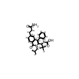 CC(C)Cn1c(C(NC(=O)O)C(C)(C)C)c(-c2ccccc2)c2cc(CCC(N)=O)ccc2c1=O